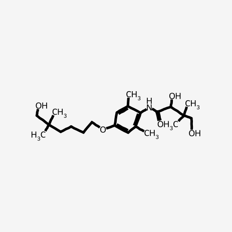 Cc1cc(OCCCCC(C)(C)CO)cc(C)c1NC(=O)C(O)C(C)(C)CO